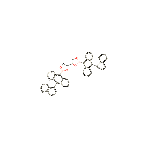 c1ccc2c(-c3c4ccccc4c(B4OCC(C5COB(c6c7ccccc7c(-c7cccc8ccccc78)c7ccccc67)O5)O4)c4ccccc34)cccc2c1